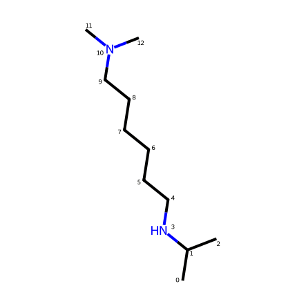 CC(C)NCCCCCCN(C)C